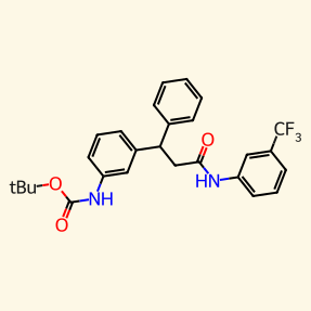 CC(C)(C)OC(=O)Nc1cccc(C(CC(=O)Nc2cccc(C(F)(F)F)c2)c2ccccc2)c1